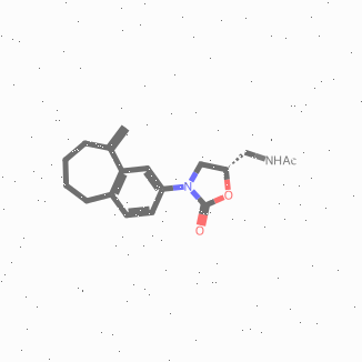 C=C1CCCCc2ccc(N3C[C@H](CNC(C)=O)OC3=O)cc21